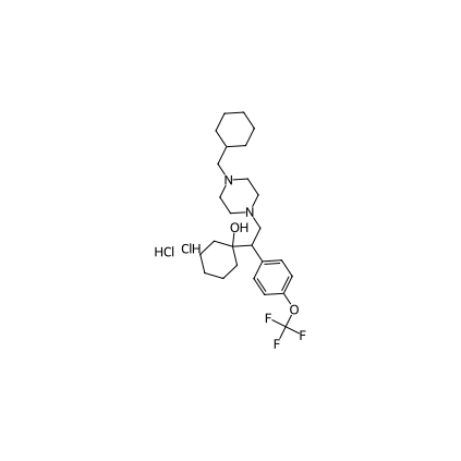 Cl.Cl.OC1(C(CN2CCN(CC3CCCCC3)CC2)c2ccc(OC(F)(F)F)cc2)CCCCC1